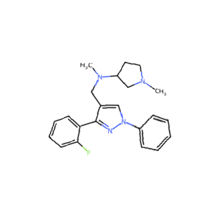 CN1CCC(N(C)Cc2cn(-c3ccccc3)nc2-c2ccccc2F)C1